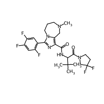 CN1CCCn2c(-c3cc(F)c(F)cc3F)nc(C(=O)NC(C(=O)N3CCC(F)(F)C3)C(C)(C)C)c2C1